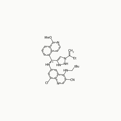 C=C(CC)N1C=C([C@@H](Nc2cc(Cl)c3ncc(C#N)c(NCC(C)(C)C)c3c2)c2cccc3c(OC)nccc23)NN1